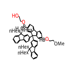 CCCCCCC1(CCCCCC)c2ccccc2-c2ccc(C3(c4ccc5c(c4)C(CCCCCC)(CCCCCC)c4ccccc4-5)c4cc(BOCCOC)ccc4-c4ccc(B(C)OCCO)cc43)cc21